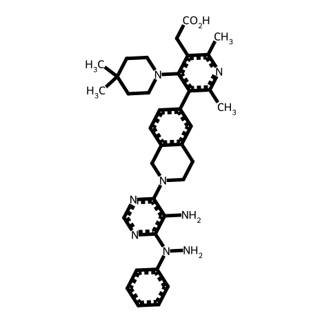 Cc1nc(C)c(-c2ccc3c(c2)CCN(c2ncnc(N(N)c4ccccc4)c2N)C3)c(N2CCC(C)(C)CC2)c1CC(=O)O